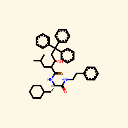 CC(C)CC(C(=S)N[C@@H](CC1CCCCC1)C(=O)NCCc1ccccc1)C(O)CC(c1ccccc1)(c1ccccc1)c1ccccc1